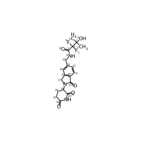 CC(C)(O)C(F)(F)C(=O)NCc1ccc2c(c1)CN(C1CCC(=O)NC1=O)C2=O